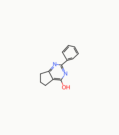 Oc1nc(-c2ccccc2)nc2c1CCC2